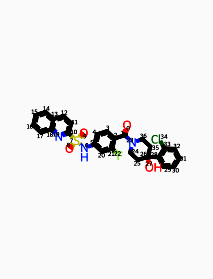 O=C(c1ccc(NS(=O)(=O)c2ccc3ccccc3n2)cc1F)N1CCC(O)(c2ccccc2Cl)CC1